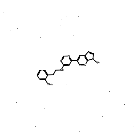 COc1ccccc1CCNc1cc(-c2cnc3c(ccn3C(C)C)c2)ncn1